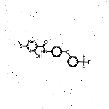 CSc1nnc(C(=O)Nc2ccc(Oc3cccc(C(F)(F)F)c3)cc2)c(O)n1